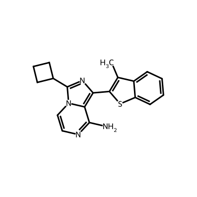 Cc1c(-c2nc(C3CCC3)n3ccnc(N)c23)sc2ccccc12